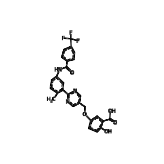 Cc1ccc(NC(=O)c2ccc(C(F)(F)F)cc2)cc1-c1ncc(COc2ccc(O)c(C(=O)O)c2)cn1